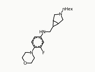 CCCCCCN1CC2C(CNc3ccc(N4CCOCC4)c(F)c3)C2C1